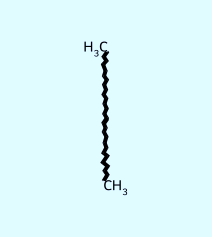 CCCCCCCCCCCCCC=CCCCCCCCCCCCCCCC